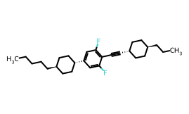 CCCCC[C@H]1CC[C@H](c2cc(F)c(C#C[C@H]3CC[C@H](CCC)CC3)c(F)c2)CC1